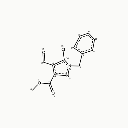 COC(=O)c1nn(Cc2ccccc2)c(Cl)c1C=O